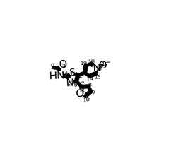 CC(=O)Nc1nc(-c2ccco2)c(-c2cc[n+]([O-])cc2)s1